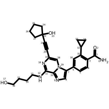 NC(=O)c1ccc(-c2cnc3c(NCCCCO)nc(C#CC4(O)CCCC4)cn23)cc1C1CC1